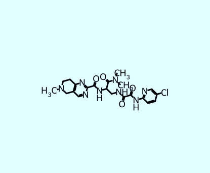 CN1CCc2nc(C(=O)NC(CNC(=O)C(=O)Nc3ccc(Cl)cn3)C(=O)N(C)C)ncc2C1